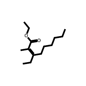 CCCCCCC(CC)=C(C)C(=O)OCC